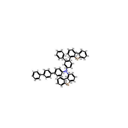 c1ccc(-c2ccc(-c3ccc(N(c4ccc(-c5cccc6c5sc5ccccc56)c(-c5ccccc5)c4)c4cccc5sc6ccccc6c45)cc3)cc2)cc1